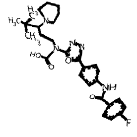 CC(C)(C)C(CCN(C(=O)O)c1nnc(-c2ccc(NC(=O)c3ccc(F)cc3)cc2)o1)N1CCCCC1